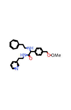 COOCc1ccc(C(NCCC2=CC=C=CC=C2)C(=O)NCCc2cccnc2)cc1